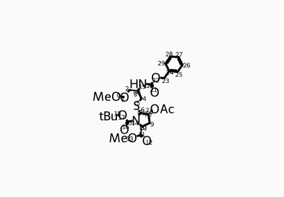 COOC[C@H](CS[C@H]1[C@H](OC(C)=O)C[C@@H](C(=O)OC)N1C(=O)OC(C)(C)C)NC(=O)OCc1ccccc1